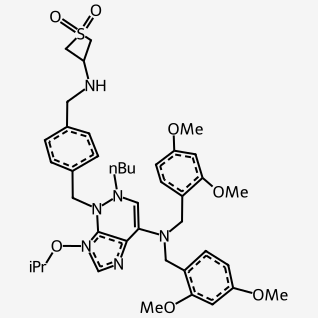 CCCCN1C=C(N(Cc2ccc(OC)cc2OC)Cc2ccc(OC)cc2OC)c2ncn(OC(C)C)c2N1Cc1ccc(CNC2CS(=O)(=O)C2)cc1